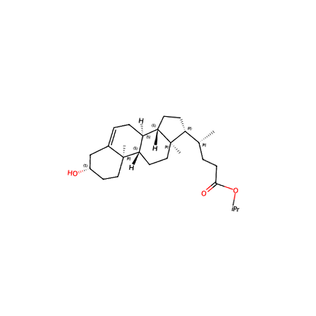 CC(C)OC(=O)CC[C@@H](C)[C@H]1CC[C@H]2[C@@H]3CC=C4C[C@@H](O)CC[C@]4(C)[C@H]3CC[C@]12C